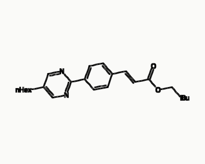 CCCCCCc1cnc(-c2ccc(/C=C/C(=O)OCC(C)CC)cc2)nc1